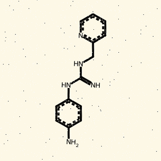 N=C(NCc1ccccn1)Nc1ccc(N)cc1